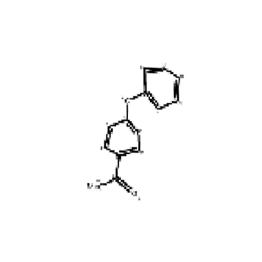 [CH2]OC(=O)c1ccc(Oc2ccccc2)cc1